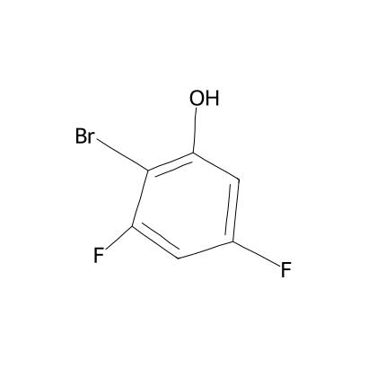 Oc1cc(F)cc(F)c1Br